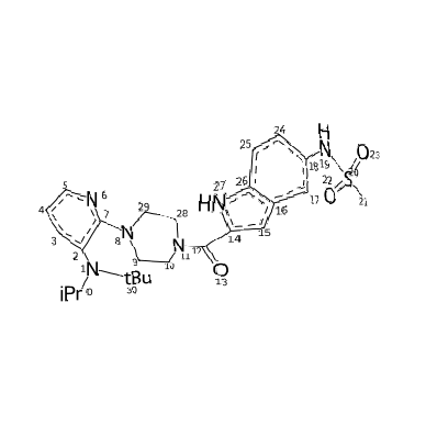 CC(C)N(c1cccnc1N1CCN(C(=O)c2cc3cc(NS(C)(=O)=O)ccc3[nH]2)CC1)C(C)(C)C